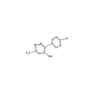 Oc1cc(C(F)(F)F)nnc1-c1ccc(F)cc1